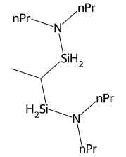 CCCN(CCC)[SiH2]C(C)[SiH2]N(CCC)CCC